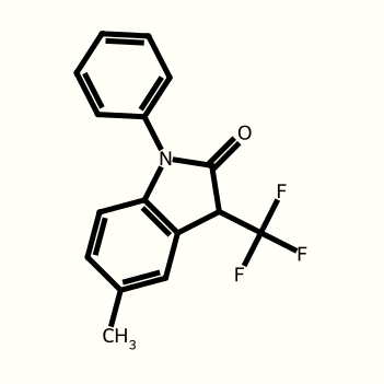 Cc1ccc2c(c1)C(C(F)(F)F)C(=O)N2c1ccccc1